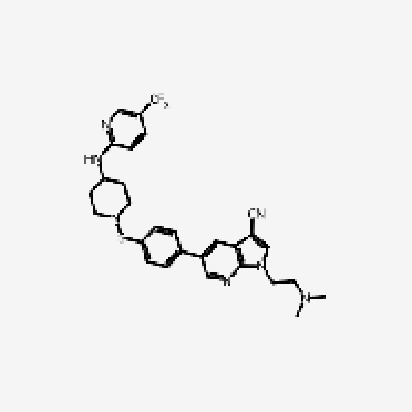 CN(C)CCn1cc(C#N)c2cc(-c3ccc(SN4CCC(Nc5ccc(C(F)(F)F)cn5)CC4)cc3)cnc21